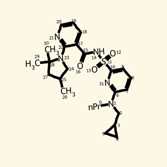 CCCN(CC1CC1)c1cccc(S(=O)(=O)NC(=O)c2cccnc2N2CC(C)CC2(C)C)n1